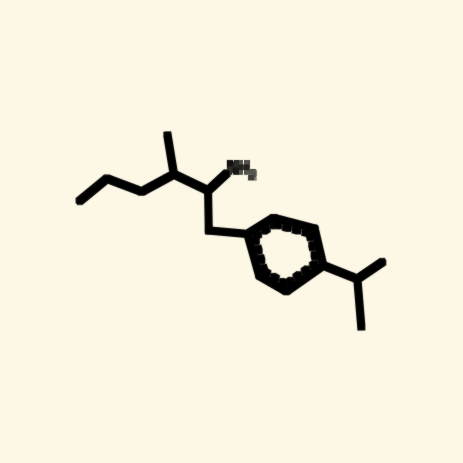 CCCC(C)C(N)Cc1ccc(C(C)C)cc1